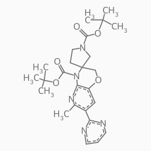 Cc1nc2c(cc1-c1ncccn1)OCC1(CCN(C(=O)OC(C)(C)C)C1)N2C(=O)OC(C)(C)C